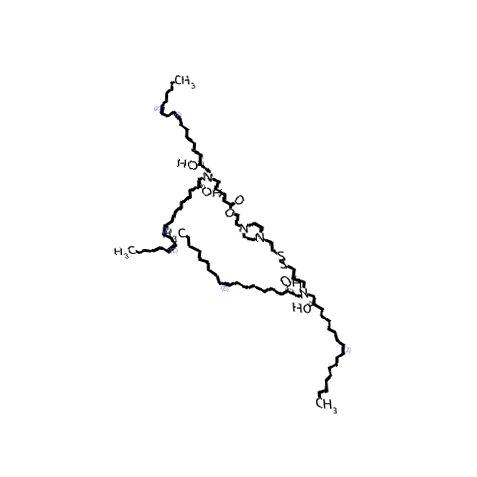 CCCCC/C=C\C/C=C\CCCCCC[C@@H](O)CN(CCCCC(=O)OCCN1CCN(CCSSCCCN(C[C@@H](O)CCCCCC/C=C\CCCCCCCC)C[C@@H](O)CCCCCC/C=C\CCCCCCCC)CC1)C[C@H](O)CCCCCC/C=C\C/C=C\CCCCC